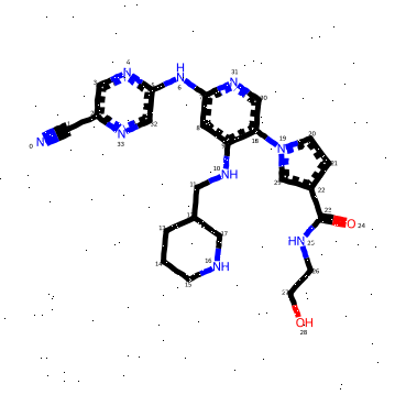 N#Cc1cnc(Nc2cc(NCC3CCCNC3)c(-n3ccc(C(=O)NCCO)c3)cn2)cn1